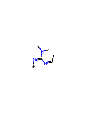 C/C=N\C(=N/C(C)C)N(C)C